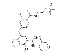 COc1c(C(=O)N[C@H]2CCOC[C@@H]2O)cc(Cc2ccc(C(=O)NCCCS(C)(=O)=O)c(F)c2)c2c1CCO2